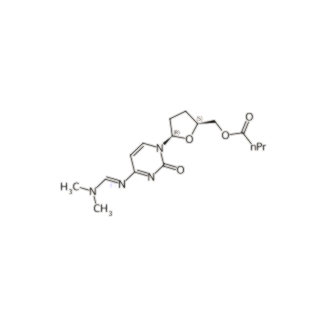 CCCC(=O)OC[C@@H]1CC[C@H](n2ccc(/N=C/N(C)C)nc2=O)O1